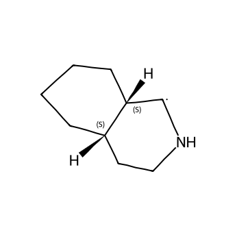 [CH]1NCC[C@@H]2CCCC[C@H]12